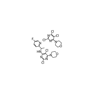 CC(Nc1nc(Cl)nc(N2CCOCC2)c1Cl)c1ccc(F)cn1.Clc1nc(Cl)c(Cl)c(N2CCOCC2)n1